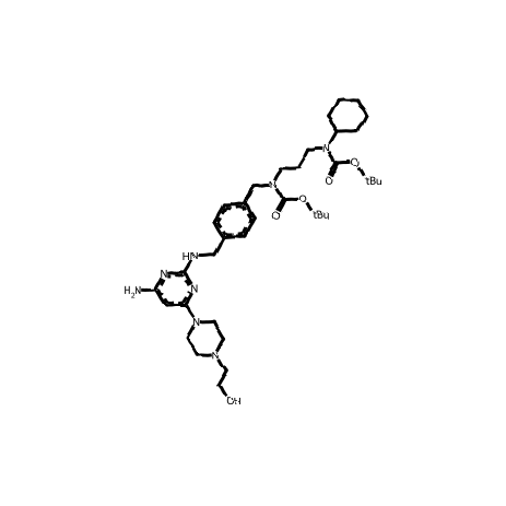 CC(C)(C)OC(=O)N(CCCN(C(=O)OC(C)(C)C)C1CCCCC1)Cc1ccc(CNc2nc(N)cc(N3CCN(CCO)CC3)n2)cc1